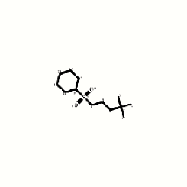 CC(C)(C)CCCS(=O)(=O)C1CCCCC1